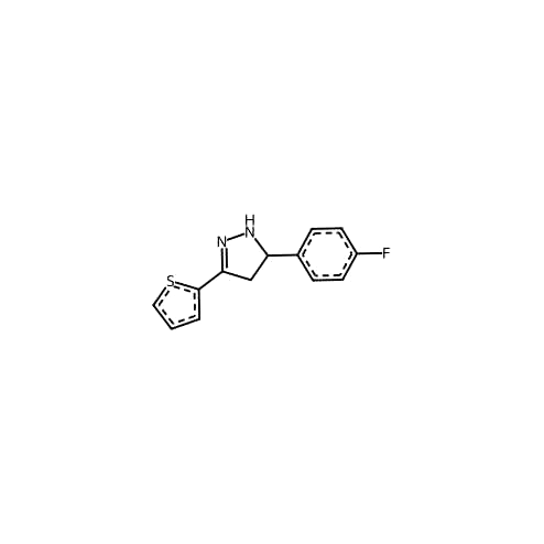 Fc1ccc(C2CC(c3cccs3)=NN2)cc1